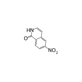 O=c1[nH]ccc2cc([N+](=O)[O-])ccc12